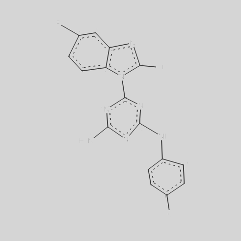 CCc1nc2cc(F)ccc2n1-c1nc(N)nc(Nc2ccc(C(F)(F)F)cc2)n1